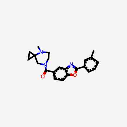 Cc1cccc(-c2nc3cc(C(=O)N4CCN(C)C5(CC5)C4)ccc3o2)c1